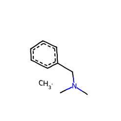 CN(C)Cc1ccccc1.[CH3]